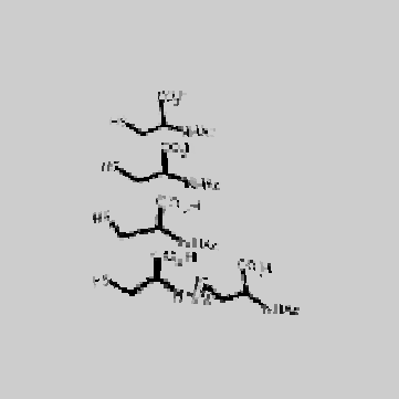 CC(=O)NC(CS)C(=O)O.CC(=O)NC(CS)C(=O)O.CC(=O)NC(CS)C(=O)O.CC(=O)NC(CS)C(=O)O.CC(=O)NC(CS)C(=O)O